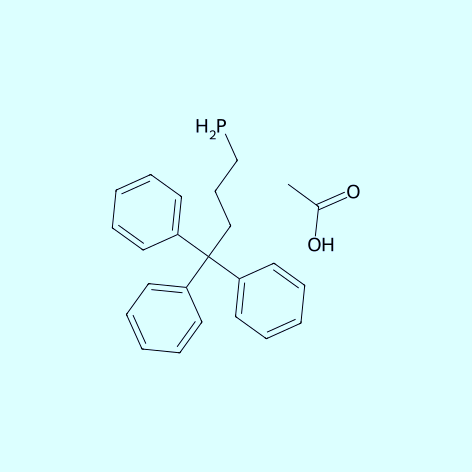 CC(=O)O.PCCCC(c1ccccc1)(c1ccccc1)c1ccccc1